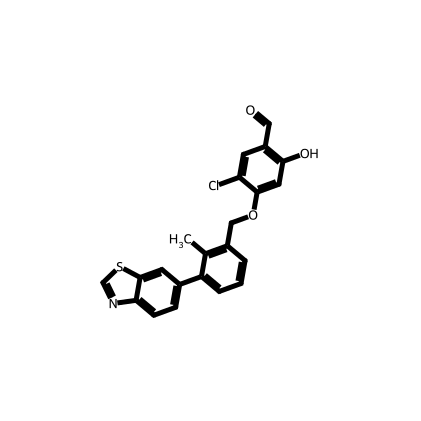 Cc1c(COc2cc(O)c(C=O)cc2Cl)cccc1-c1ccc2ncsc2c1